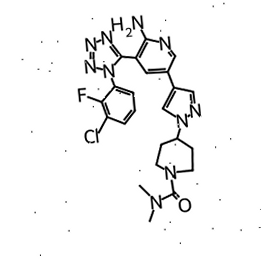 CN(C)C(=O)N1CCC(n2cc(-c3cnc(N)c(-c4nnnn4-c4cccc(Cl)c4F)c3)cn2)CC1